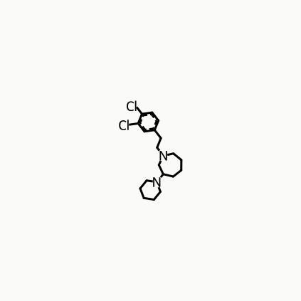 Clc1ccc(CCN2CCCCC(N3CCCCC3)C2)cc1Cl